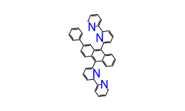 c1ccc(-c2ccc3c(-c4cccc(-c5ccccn5)n4)c4ccccc4c(-c4cccc(-c5ccccn5)n4)c3c2)cc1